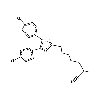 CC(C#N)CCCCCc1nc(-c2ccc(Cl)cc2)c(-c2ccc(Cl)cc2)o1